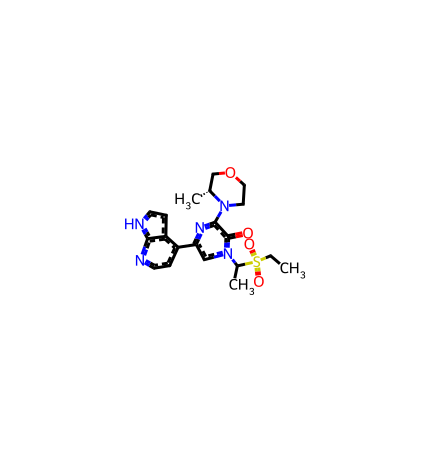 CCS(=O)(=O)C(C)n1cc(-c2ccnc3[nH]ccc23)nc(N2CCOC[C@H]2C)c1=O